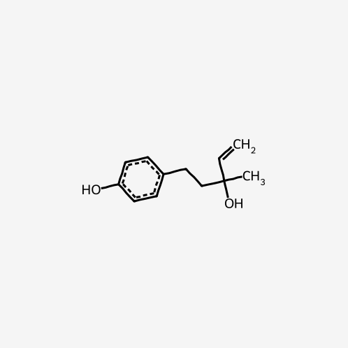 C=CC(C)(O)CCc1ccc(O)cc1